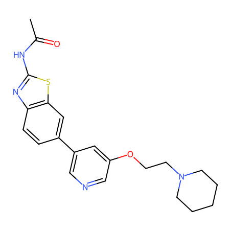 CC(=O)Nc1nc2ccc(-c3cncc(OCCN4CCCCC4)c3)cc2s1